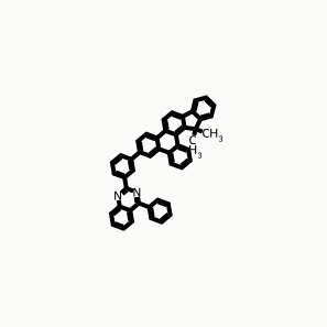 CC1(C)c2ccccc2-c2ccc3c4ccc(-c5cccc(-c6nc(-c7ccccc7)c7ccccc7n6)c5)cc4c4ccccc4c3c21